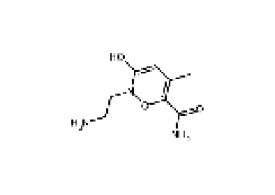 CC1=C(C(N)=O)ON(CCN)C(O)=C1